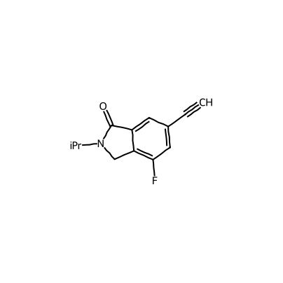 C#Cc1cc(F)c2c(c1)C(=O)N(C(C)C)C2